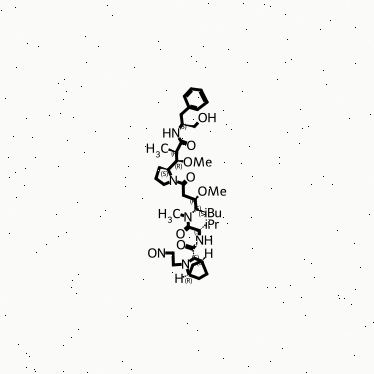 CC[C@H](C)[C@@H]([C@@H](CC(=O)N1CCC[C@H]1[C@H](OC)[C@@H](C)C(=O)N[C@H](CO)Cc1ccccc1)OC)N(C)C(=O)[C@@H](NC(=O)[C@@H]1[C@H]2CC[C@H](C2)N1CCN=O)C(C)C